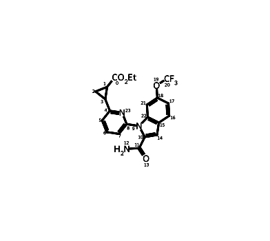 CCOC(=O)C1CC1c1cccc(-n2c(C(N)=O)cc3ccc(OC(F)(F)F)cc32)n1